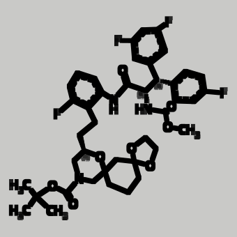 COC(=O)N[C@H](C(=O)Nc1cccc(F)c1CC[C@@H]1CN(C(=O)OC(C)(C)C)CC2(CCCC3(C2)OCCO3)O1)[C@@H](c1ccc(F)cc1)c1cc(F)cc(F)c1